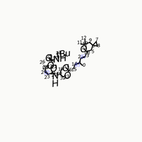 CC(/C=C/[C@@H]1CC2(CC2)CC(C)(C)O1)=C\C[C@H]1OC[C@@H](NC(=O)/C=C\[C@H](C)OC(=O)NC(C)(C)C)CO1